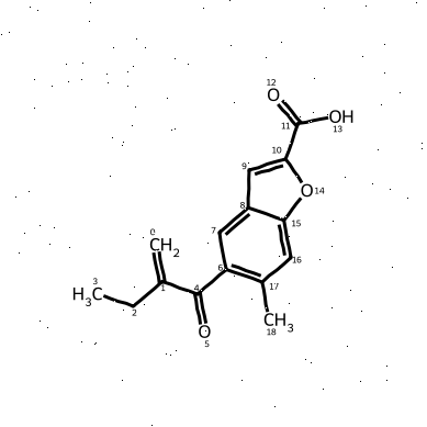 C=C(CC)C(=O)c1cc2cc(C(=O)O)oc2cc1C